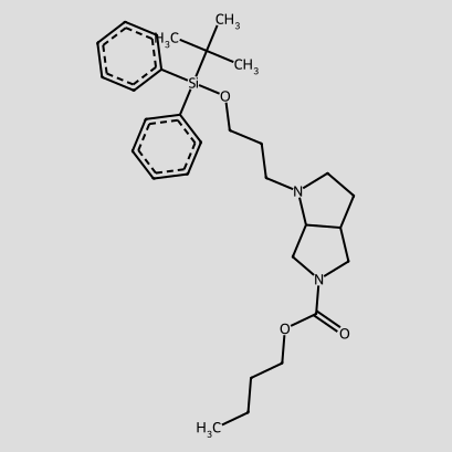 CCCCOC(=O)N1CC2CCN(CCCO[Si](c3ccccc3)(c3ccccc3)C(C)(C)C)C2C1